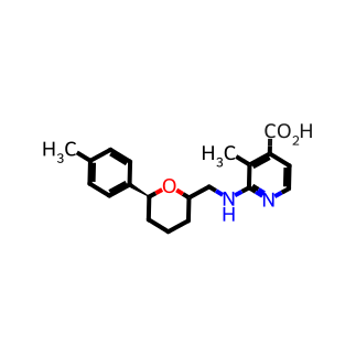 Cc1ccc([C@@H]2CCCC(CNc3nccc(C(=O)O)c3C)O2)cc1